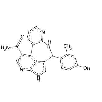 Cc1cc(O)ccc1C1Nc2ncccc2-c2c(C(N)=O)nnc3[nH]cc1c23